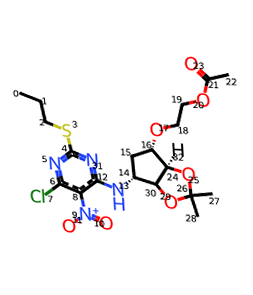 CCCSc1nc(Cl)c([N+](=O)[O-])c(N[C@@H]2C[C@H](OCCOC(C)=O)[C@H]3OC(C)(C)OC23)n1